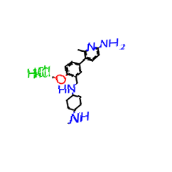 CNC1CCC(NCc2cc(-c3ccc(N)nc3C)ccc2OC)CC1.Cl.Cl